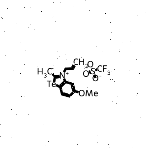 C=CC[n+]1c(C)[te]c2ccc(OC)cc21.O=S(=O)([O-])C(F)(F)F